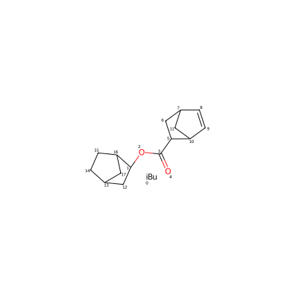 CC[C@H](C)C1(OC(=O)C2CC3C=CC2C3)CC2CCC1C2